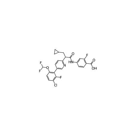 O=C(O)c1ccc(NC(=O)C(CC2CC2)c2ccc(-c3c(OC(F)F)ccc(Cl)c3F)cn2)cc1F